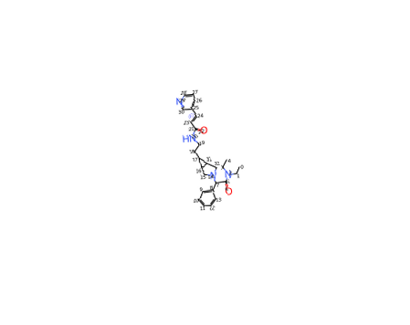 CCN(CC)C(=O)C(c1ccccc1)N1CC2C(CCNC(=O)/C=C/c3cccnc3)C2C1